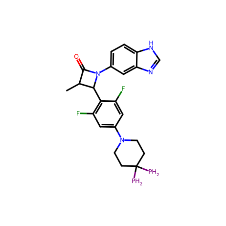 CC1C(=O)N(c2ccc3[nH]cnc3c2)C1c1c(F)cc(N2CCC(P)(P)CC2)cc1F